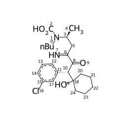 CCCCN(C(=O)O)[C@@H](C)CC(=N)C(=O)[C@@H](c1cccc(Cl)c1)C1(O)CCCCC1